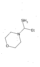 CCC([SiH3])N1CCOCC1